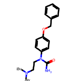 CCCN(CCN(C(N)=O)c1ccc(OCc2ccccc2)cc1)C(C)CC